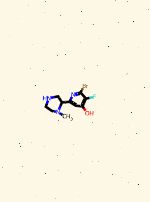 CN1CCNCC1c1cc(O)c(F)c(Br)n1